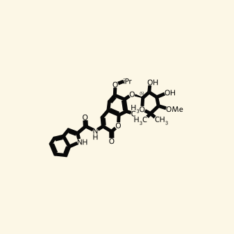 COC1C(O)C(O)[C@H](Oc2c(OC(C)C)cc3cc(NC(=O)c4cc5ccccc5[nH]4)c(=O)oc3c2C)OC1(C)C